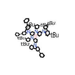 CC(C)(C)c1cc(N2c3cc(-n4c5ccccc5c5cc(-c6ccccc6)ccc54)ccc3B3c4ccc(-n5c6ccc(C(C)(C)C)cc6c6cc(C(C)(C)C)ccc65)cc4N(c4cc(C(C)(C)C)cc(C(C)(C)C)c4)c4cc(-n5c6ccc(-c7ccccc7)cc6c6cc(-c7ccccc7)ccc65)cc2c43)cc(C(C)(C)C)c1